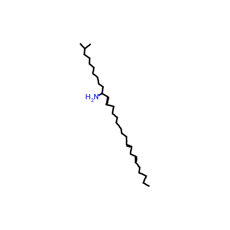 CCCCCC=CCC=CCCCCCCCC=CC(N)CCCCCCCCC(C)C